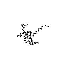 CCCCCCCCCCCCCCCCCCN(C(=O)CCCCCCCCCCC)[C@@H]1O[C@H](CO)[C@@H](O)[C@H](O)[C@H]1NC(=O)[C@H](CO)NC(=O)CCCCC(=O)O